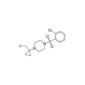 O=S(=O)(c1ccccc1Cl)N1CCN(C2(CF)CC2)CC1